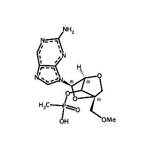 COC[C@]12CO[C@@H](C1OP(C)(=O)O)[C@H](n1cnc3cnc(N)nc31)O2